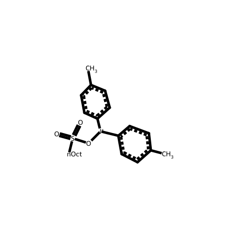 CCCCCCCCS(=O)(=O)O[I+](c1ccc(C)cc1)c1ccc(C)cc1